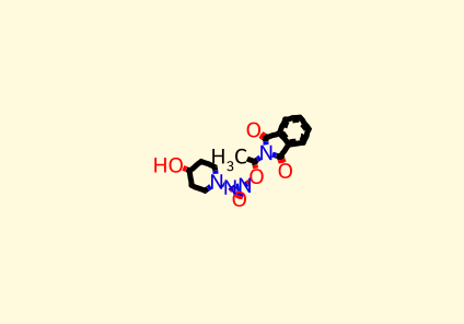 CC(On1on1N1CCC(O)CC1)N1C(=O)c2ccccc2C1=O